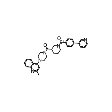 Cc1cc(N2CCN(C(=O)C3CCCN([S+]([O-])c4ccc(-c5cccnc5)cc4)C3)CC2)c2ccccc2n1